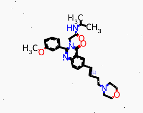 COc1cccc(-c2nc3ccc(/C=C/CCN4CCOCC4)cc3c(=O)n2CC(=O)NC(C)C)c1